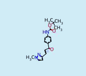 Cn1ccc(/C=C/C(=O)c2ccc(NC(=O)OC(C)(C)C)cc2)n1